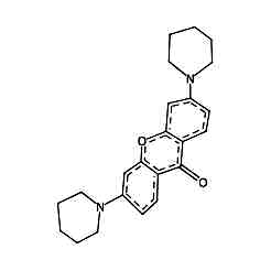 O=c1c2ccc(N3CCCCC3)cc2oc2cc(N3CCCCC3)ccc12